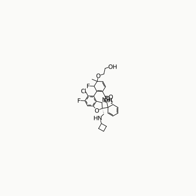 CC1(OCCO)C=CC(C(N)=O)=C(c2c(Cl)c(F)cc3c2[C@H](O)[C@@](CNC2CCC2)(C2(C)C=CC=CC2)O3)C1F